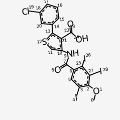 COc1c(I)cc(C(=O)Nc2csc(-c3cccc(Cl)c3)c2C(=O)O)c(I)c1I